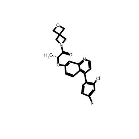 C[C@@H](Oc1ccc2c(-c3ccc(F)cc3Cl)ccnc2c1)C(=O)N1CC2(COC2)C1